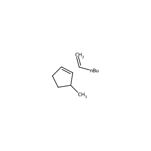 C=CCCCC.CC1C=CCC1